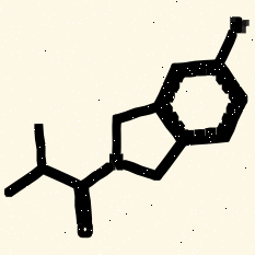 CC(C)C(=O)N1Cc2ccc(Br)cc2C1